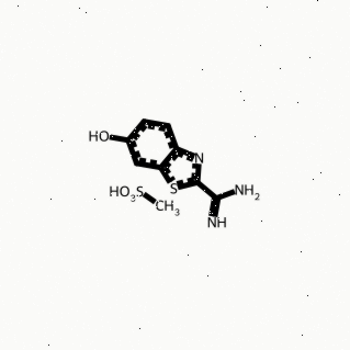 CS(=O)(=O)O.N=C(N)c1nc2ccc(O)cc2s1